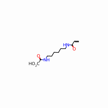 C=CC(=O)NCCCCCCNC(=O)C(=O)O